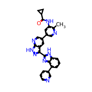 Cc1ncc(-c2cnc3[nH]nc(-c4nc5c(-c6cccnc6)cccc5[nH]4)c3c2)cc1NC(=O)C1CC1